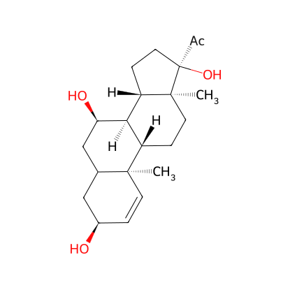 CC(=O)[C@@]1(O)CC[C@H]2[C@@H]3[C@H](O)CC4C[C@H](O)C=C[C@]4(C)[C@H]3CC[C@@]21C